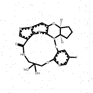 O=C1NCC(O)(O)COc2ncc(F)cc2CN2c3nc4c1cnn4cc3O[C@H]1CCC[C@H]12